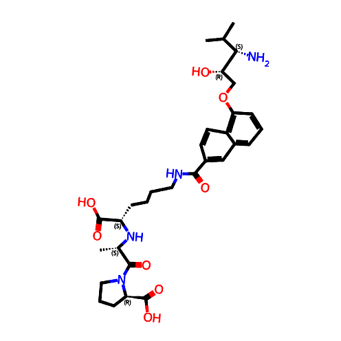 CC(C)[C@H](N)[C@@H](O)COc1cccc2cc(C(=O)NCCCC[C@H](N[C@@H](C)C(=O)N3CCC[C@@H]3C(=O)O)C(=O)O)ccc12